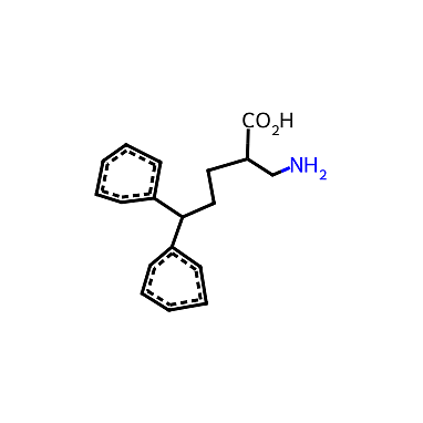 NCC(CCC(c1ccccc1)c1ccccc1)C(=O)O